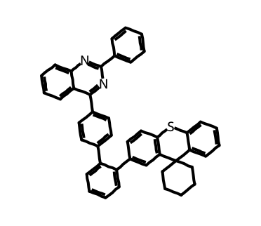 c1ccc(-c2nc(-c3ccc(-c4ccccc4-c4ccc5c(c4)C4(CCCCC4)c4ccccc4S5)cc3)c3ccccc3n2)cc1